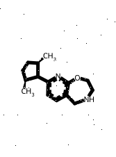 C[C@@H]1CC[C@H](C)C1c1ccc2c(n1)OCCNC2